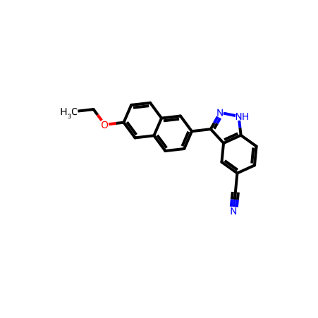 CCOc1ccc2cc(-c3n[nH]c4ccc(C#N)cc34)ccc2c1